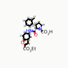 CCOC(=O)c1cc2cc(NC(=O)[C@@H]3[C@H](c4ccccc4C)CCN3C(=O)O)ccc2o1